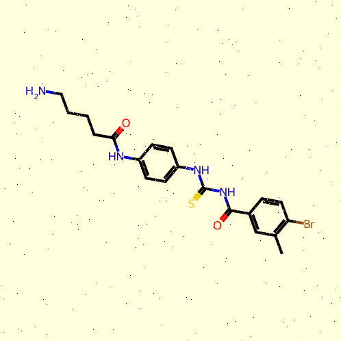 Cc1cc(C(=O)NC(=S)Nc2ccc(NC(=O)CCCCN)cc2)ccc1Br